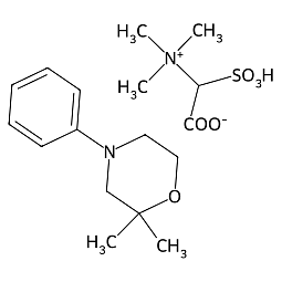 CC1(C)CN(c2ccccc2)CCO1.C[N+](C)(C)C(C(=O)[O-])S(=O)(=O)O